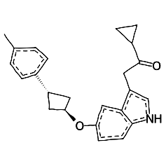 Cc1ccc([C@H]2C[C@H](Oc3ccc4[nH]cc(CC(=O)C5CC5)c4c3)C2)cc1